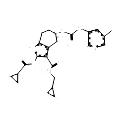 Cc1cncc(NC(=S)N[C@@H]2CCc3sc(NC(=O)C4CC4)c(C(=O)NCC4CC4)c3C2)c1